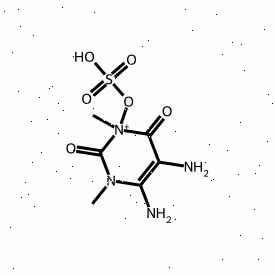 CN1C(=O)[N+](C)(OS(=O)(=O)O)C(=O)C(N)=C1N